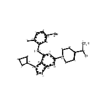 CCC(C(=O)O)C1CCN(c2nc(Nc3cc(C(C)(C)C)ccc3C)c3c(ncn3C3CCC3)n2)CC1